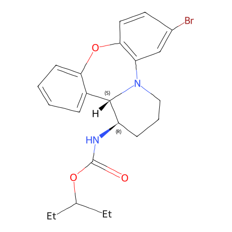 CCC(CC)OC(=O)N[C@@H]1CCCN2c3cc(Br)ccc3Oc3ccccc3[C@@H]12